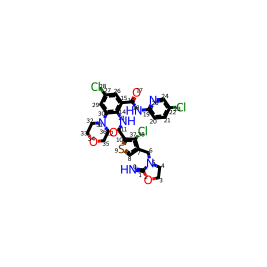 N=C1OCCN1Cc1csc(C(=O)Nc2c(C(=O)Nc3ccc(Cl)cn3)cc(Cl)cc2N2CCOCC2)c1Cl